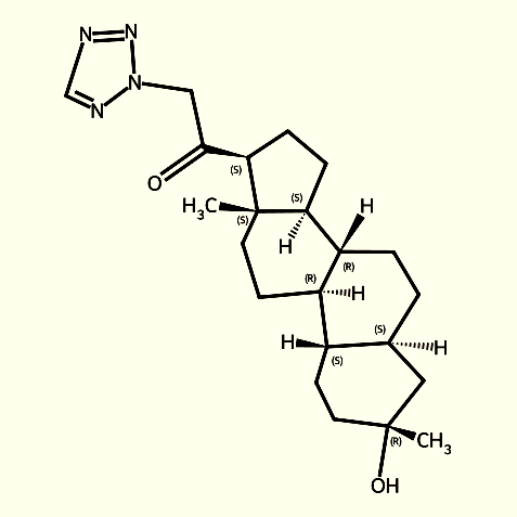 C[C@@]1(O)CC[C@H]2[C@@H](CC[C@@H]3[C@@H]2CC[C@]2(C)[C@@H](C(=O)Cn4ncnn4)CC[C@@H]32)C1